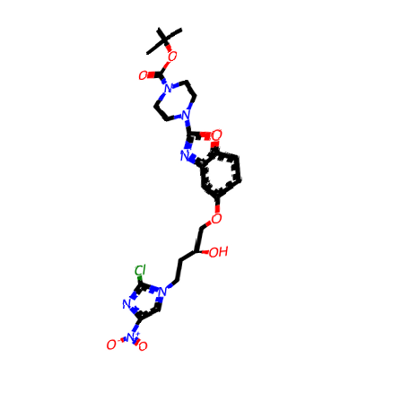 CC(C)(C)OC(=O)N1CCN(c2nc3cc(OC[C@@H](O)CCn4cc([N+](=O)[O-])nc4Cl)ccc3o2)CC1